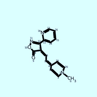 CN1C=CC(=CC=C2C(=O)ON=C2c2ccccn2)C=C1